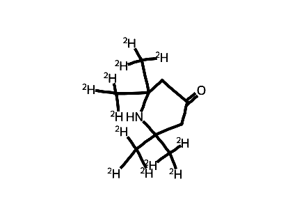 [2H]C([2H])([2H])C1(C([2H])([2H])[2H])CC(=O)CC(C([2H])([2H])[2H])(C([2H])([2H])[2H])N1